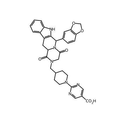 O=C(O)c1cnc(N2CCC(CN3CC(=O)N4C(Cc5c([nH]c6ccccc56)C4c4ccc5c(c4)OCO5)C3=O)CC2)nc1